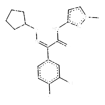 Cn1ccc(NC(=O)C(=NOC2CCCC2)c2ccc(Cl)c(Cl)c2)n1